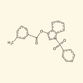 Cc1cccc(C(=O)Oc2cn(S(=O)(=O)c3ccccc3)c3ccccc23)c1